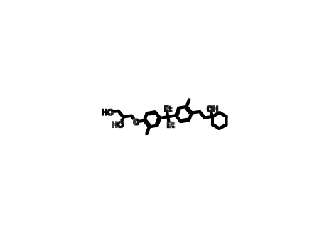 CCC(CC)(c1ccc(CCC2(O)CCCCC2)c(C)c1)c1ccc(OC[C@@H](O)CO)c(C)c1